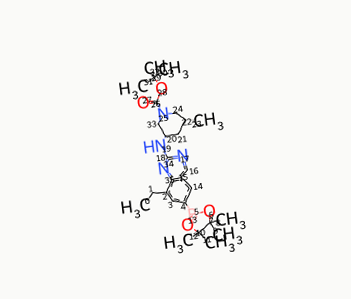 CCc1cc(B2OC(C)(C)C(C)(C)O2)cc2cnc(N[C@H]3C[C@@H](C)CN(C(=O)OC(C)(C)C)C3)nc12